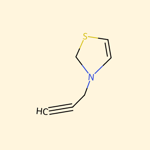 C#CCN1C=CSC1